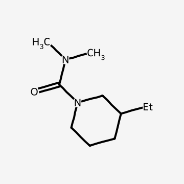 CCC1CCCN(C(=O)N(C)C)C1